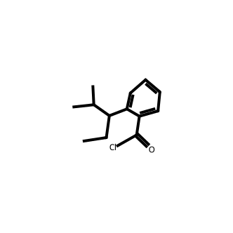 CCC(c1ccccc1C(=O)Cl)C(C)C